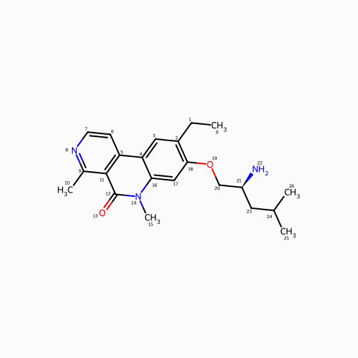 CCc1cc2c3ccnc(C)c3c(=O)n(C)c2cc1OC[C@@H](N)CC(C)C